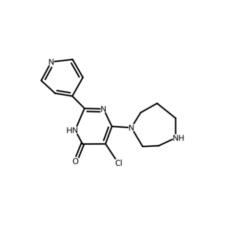 O=c1[nH]c(-c2ccncc2)nc(N2CCCNCC2)c1Cl